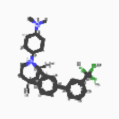 CN(C)[C@H]1CC[C@@H](N2CC[C@@H]3C[C@H]2c2cc(-c4cccc(C(F)(F)F)c4)ccc23)CC1